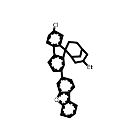 CCC1CC2CCC3(c4cc(Cl)ccc4-c4ccc(-c5ccc6c(c5)oc5ccccc56)cc43)C(C1)C2